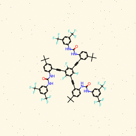 CC(C)(C)c1ccc(NC(=O)Nc2cc(C(F)(F)F)cc(C(F)(F)F)c2)c(C#Cc2c(F)c(C#Cc3cc(C(C)(C)C)ccc3NC(=O)Nc3cc(C(F)(F)F)cc(C(F)(F)F)c3)c(F)c(C#Cc3cc(C(C)(C)C)ccc3NC(=O)Nc3cc(C(F)(F)F)cc(C(F)(F)F)c3)c2F)c1